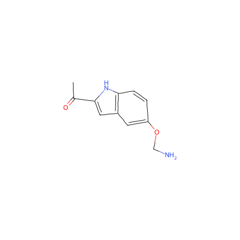 CC(=O)c1cc2cc(OCN)ccc2[nH]1